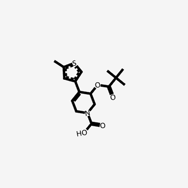 Cc1cc(C2=CCN(C(=O)O)CC2OC(=O)C(C)(C)C)cs1